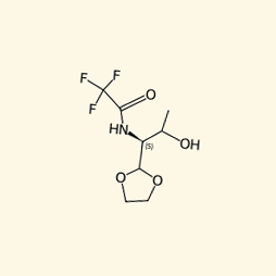 CC(O)[C@H](NC(=O)C(F)(F)F)C1OCCO1